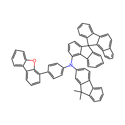 CC1(C)c2ccccc2-c2ccc(N(c3ccc(-c4cccc5c4oc4ccccc45)cc3)c3cccc4c3-c3ccccc3C43c4ccccc4-c4ccc5ccccc5c43)cc21